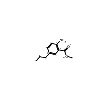 CCCc1ccc(N)c(C(=O)OC)c1